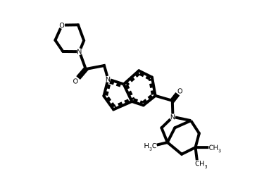 CC1(C)CC2CC(C)(CN2C(=O)c2ccc3c(ccn3CC(=O)N3CCOCC3)c2)C1